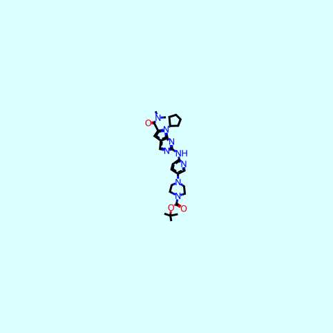 CN(C)C(=O)c1cc2cnc(Nc3ccc(N4CCN(C(=O)OC(C)(C)C)CC4)cn3)nc2n1C1CCCC1